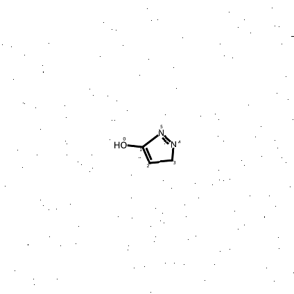 OC1=CCN=N1